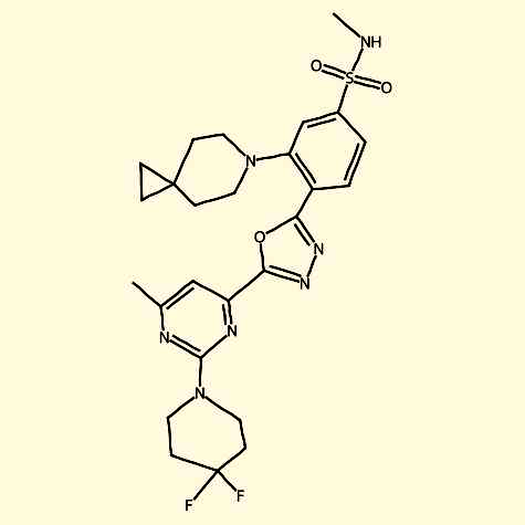 CNS(=O)(=O)c1ccc(-c2nnc(-c3cc(C)nc(N4CCC(F)(F)CC4)n3)o2)c(N2CCC3(CC2)CC3)c1